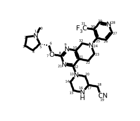 CN1CCC[C@H]1COc1nc2c(c(N3CCNC(CC#N)C3)n1)CCN(c1ccncc1C(F)(F)F)C2